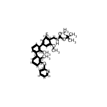 COc1cc(-c2cccc(-c3cccc(Oc4ccccn4)c3C)c2C)cc(F)c1CNC(=O)OC(C)(C)C